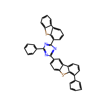 c1ccc(-c2nc(-c3ccc4sc5c(-c6ccccc6)cccc5c4c3)nc(-c3cccc4c3sc3ccccc34)n2)cc1